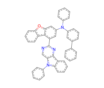 c1ccc(-c2cccc(N(c3ccccc3)c3cc(-c4ncc5c(n4)c4ccccc4n5-c4ccccc4)c4c(c3)oc3ccccc34)c2)cc1